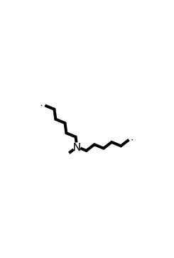 [CH2]CCCCCN(C)CCCCC[CH2]